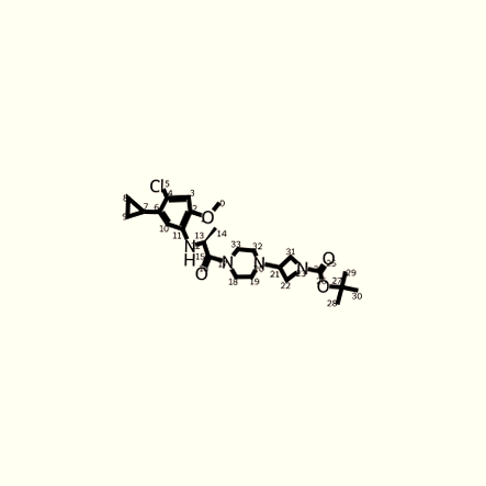 COc1cc(Cl)c(C2CC2)cc1N[C@@H](C)C(=O)N1CCN(C2CN(C(=O)OC(C)(C)C)C2)CC1